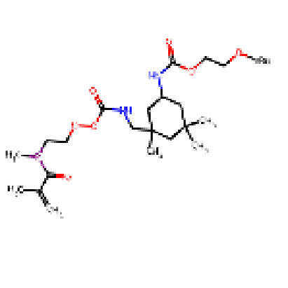 C=C(C)C(=O)P(C)CCOOC(=O)NCC1(C)CC(NC(=O)OCCOCCCC)CC(C)(C)C1